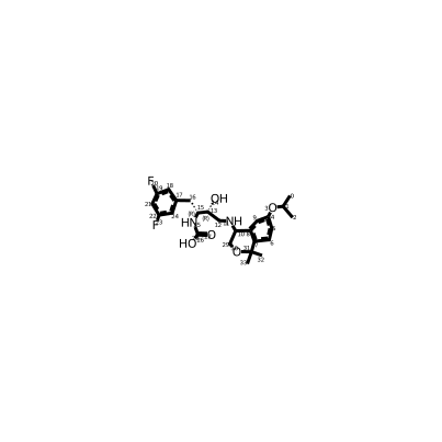 CC(C)Oc1ccc2c(c1)C(NC[C@@H](O)[C@@H](Cc1cc(F)cc(F)c1)NC(=O)O)COC2(C)C